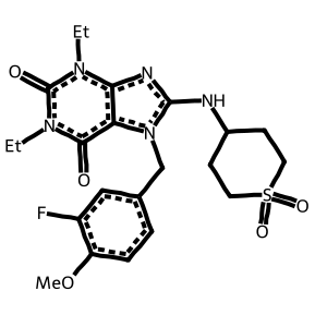 CCn1c(=O)c2c(nc(NC3CCS(=O)(=O)CC3)n2Cc2ccc(OC)c(F)c2)n(CC)c1=O